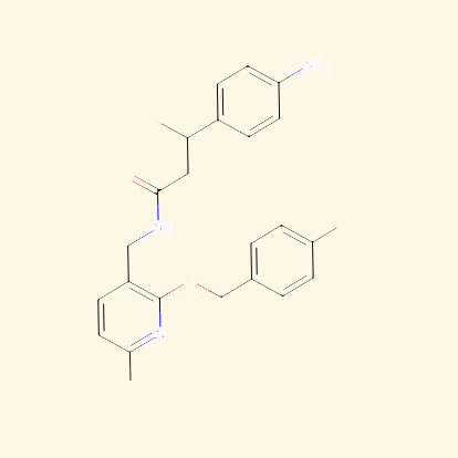 Nc1ccc(C(CC(=O)NCc2ccc(C(F)(F)F)nc2OCc2ccc(C(F)(F)F)cc2)S(=O)(=O)O)cc1